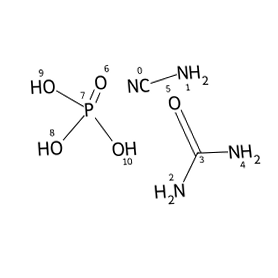 N#CN.NC(N)=O.O=P(O)(O)O